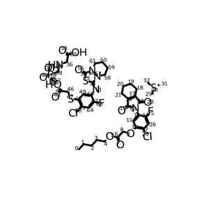 CCCCCOC(=O)COc1cc(N2C(=O)C3=C(CCCC3)C2=O)c(F)cc1Cl.C[S+](C)C.O=C(O)CNCP(=O)([O-])O.O=C(O)CSc1cc(N=c2sc(=O)n3n2CCCC3)c(F)cc1Cl